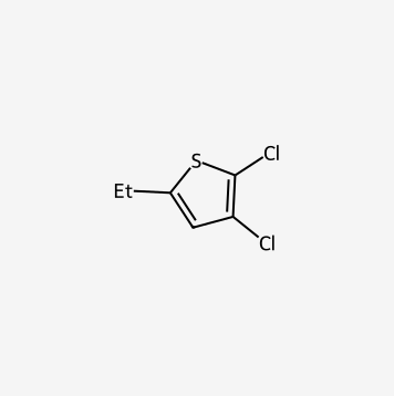 CCc1cc(Cl)c(Cl)s1